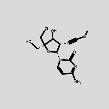 Nc1ccn([C@@H]2O[C@@](CO)(CCl)[C@@H](O)[C@@H]2C#CSI)c(=O)n1